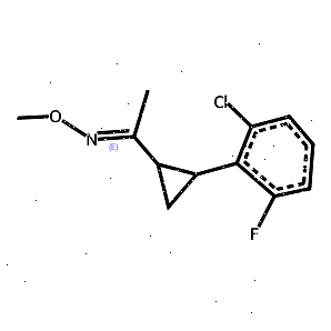 CO/N=C(\C)C1CC1c1c(F)cccc1Cl